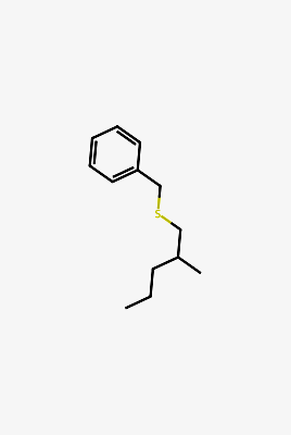 CCCC(C)CSCc1ccccc1